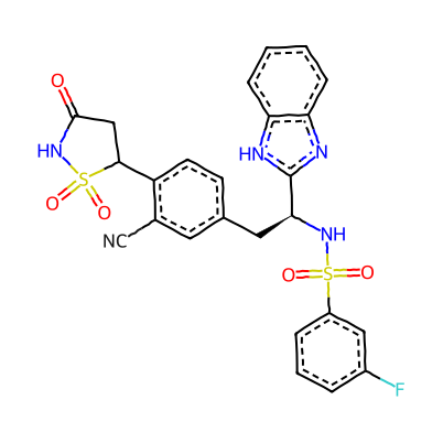 N#Cc1cc(C[C@H](NS(=O)(=O)c2cccc(F)c2)c2nc3ccccc3[nH]2)ccc1C1CC(=O)NS1(=O)=O